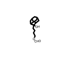 O=COCCCCC1(O)C2CC3CC(C2)CC1C3